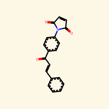 O=C(/C=C/c1ccccc1)c1ccc(N2C(=O)C=CC2=O)cc1